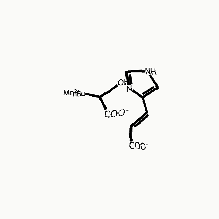 CCCCC(O)C(=O)[O-].O=C([O-])C=Cc1c[nH]cn1.[Mn+2]